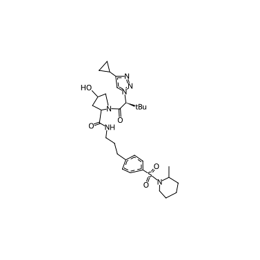 CC1CCCCN1S(=O)(=O)c1ccc(CCCNC(=O)C2CC(O)CN2C(=O)[C@@H](n2cc(C3CC3)nn2)C(C)(C)C)cc1